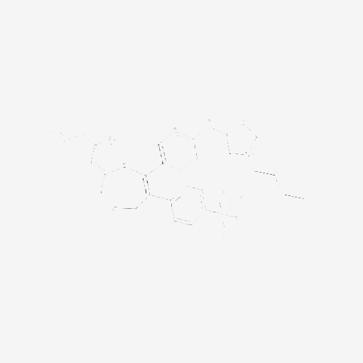 C=C/C=C(N)\C=C1\CCCC(c2ccc(S(F)(F)(F)(F)F)cc2)=C(c2ccc(OC3CCN(CCCF)C3)cc2)C1